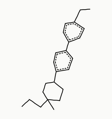 CCCC1(C)CCC(c2ccc(-c3ccc(CC)cc3)cc2)CC1